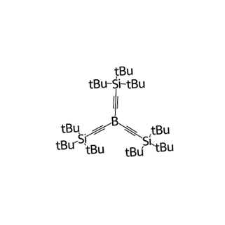 CC(C)(C)[Si](C#CB(C#C[Si](C(C)(C)C)(C(C)(C)C)C(C)(C)C)C#C[Si](C(C)(C)C)(C(C)(C)C)C(C)(C)C)(C(C)(C)C)C(C)(C)C